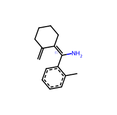 C=C1CCCC/C1=C(\N)c1ccccc1C